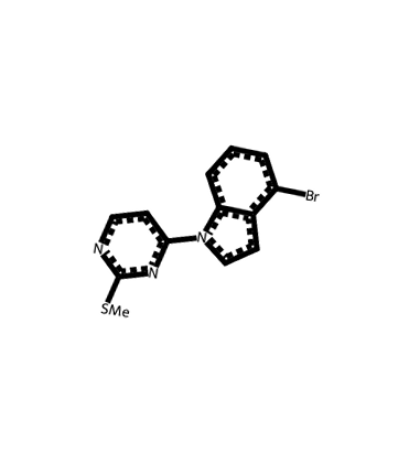 CSc1nccc(-n2ccc3c(Br)cccc32)n1